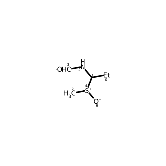 CCC(N[C]=O)[S+](C)[O-]